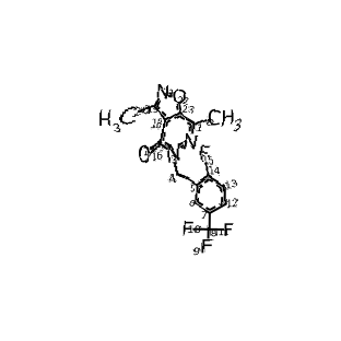 Cc1nn(Cc2cc(C(F)(F)F)ccc2F)c(=O)c2c(C)noc12